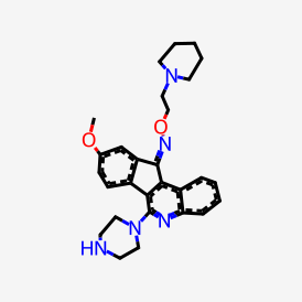 COc1ccc2c(c1)C(=NOCCN1CCCCC1)c1c-2c(N2CCNCC2)nc2ccccc12